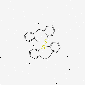 c1ccc2c(c1)CCc1ccccc1S2.c1ccc2c(c1)CSc1ccccc1C2